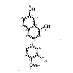 COc1ccc(-c2cc(C#N)c3cc(O)ccc3c2)cc1F